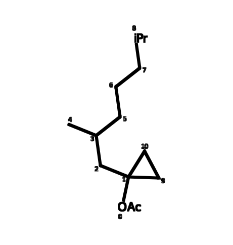 CC(=O)OC1(CC(C)CCCC(C)C)CC1